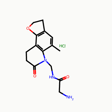 Cc1cc2c(c3c1N(CNC(=O)CN)C(=O)CC3)OCC2.Cl